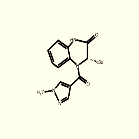 CCC(C)[C@H]1C(=O)Nc2ccccc2N1C(=O)c1cnn(C)c1